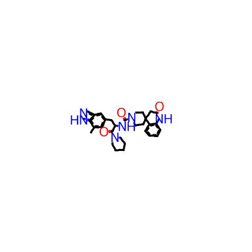 Cc1cc(CC(NC(=O)N2CCC3(CC2)CC(=O)Nc2ccccc23)C(=O)N2CCCCC2)cc2cn[nH]c12